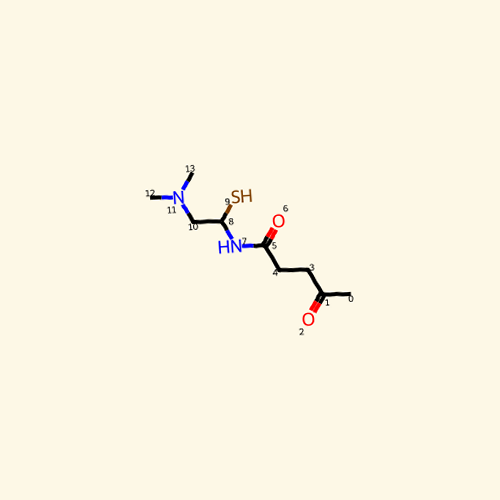 CC(=O)CCC(=O)NC(S)CN(C)C